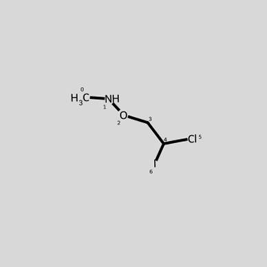 CNOCC(Cl)I